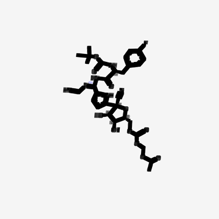 CC(=O)OCOC(=O)OC[C@H]1O[C@@](C#N)(c2ccc(/C(=N\C=N)NC(=O)[C@H](Cc3ccc(F)cc3)NC(=O)OC(C)(C)C)[nH]2)[C@H](O)[C@@H]1O